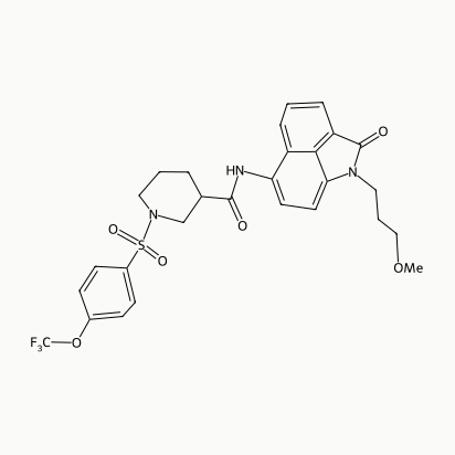 COCCCN1C(=O)c2cccc3c(NC(=O)C4CCCN(S(=O)(=O)c5ccc(OC(F)(F)F)cc5)C4)ccc1c23